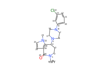 CCCN1CCC(N2CCN(c3cccc(Cl)c3)CC2)c2c(ccn2C)C1=O